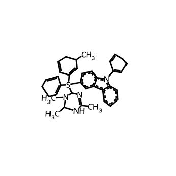 CC1=NC(S(C2=CCCC=C2)(C2=CC(C)CC=C2)c2ccc3c(c2)c2ccccc2n3C2=CCCC=C2)N(C)C(C)N1